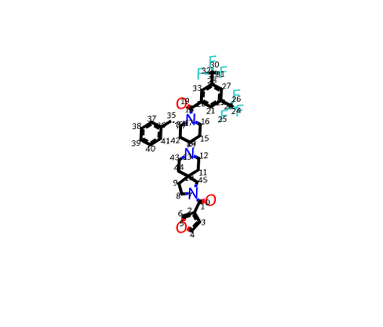 O=C(c1ccoc1)N1CCC2(CCN([C@H]3CCN(C(=O)c4cc(C(F)(F)F)cc(C(F)(F)F)c4)[C@@H](Cc4ccccc4)C3)CC2)C1